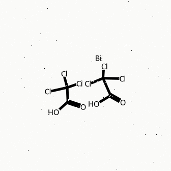 O=C(O)C(Cl)(Cl)Cl.O=C(O)C(Cl)(Cl)Cl.[Bi]